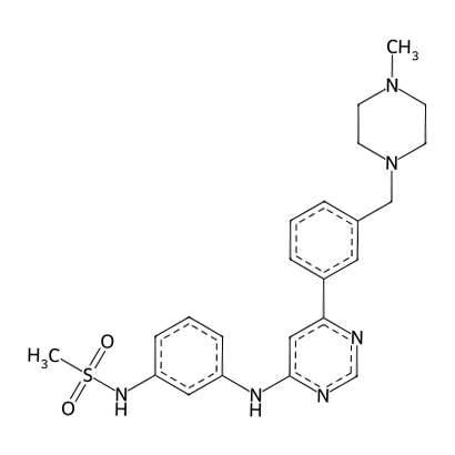 CN1CCN(Cc2cccc(-c3cc(Nc4cccc(NS(C)(=O)=O)c4)ncn3)c2)CC1